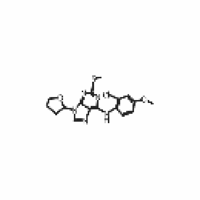 COc1ccc(Nc2nc(SC)nc3c2ncn3C2CCCO2)c(Cl)c1